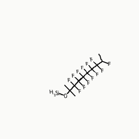 CC(F)C(F)(F)C(F)(F)C(F)(F)C(F)(F)C(F)(F)C(F)(F)C(C)(C)O[SiH3]